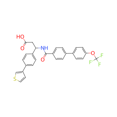 O=C(O)CC(NC(=O)c1ccc(-c2ccc(OC(F)(F)F)cc2)cc1)c1ccc(-c2ccsc2)cc1